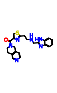 O=C(c1csc(CCNCc2nc3ccccc3[nH]2)n1)N1CCc2cnccc2C1